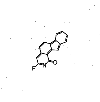 O=C1N=C(F)C=c2ccc3c(c21)C=c1ccccc1=3